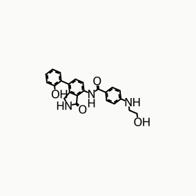 O=C(Nc1ccc(-c2ccccc2O)c2c1C(=O)NC2)c1ccc(NCCO)cc1